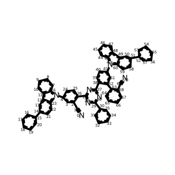 N#Cc1cc(-n2c3ccccc3c3cc(-c4ccccc4)ccc32)ccc1-c1nc(-c2ccccc2)nc(-c2ccc(-n3c4ccccc4c4cc(-c5ccccc5)ccc43)cc2-c2ccccc2C#N)n1